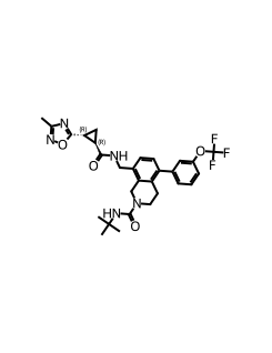 Cc1noc([C@@H]2C[C@H]2C(=O)NCc2ccc(-c3cccc(OC(F)(F)F)c3)c3c2CN(C(=O)NC(C)(C)C)CC3)n1